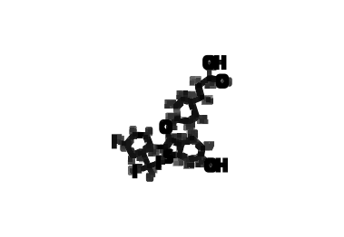 CC(F)(F)c1cc(F)ccc1-c1sc2cc(O)ccc2c1Oc1ccc(C=CC(=O)O)cc1